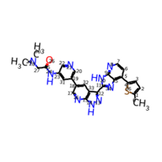 Cc1ccc(-c2ccnc3[nH]c(-c4n[nH]c5ncc(-c6cncc(NC(=O)CN(C)C)c6)cc45)nc23)s1